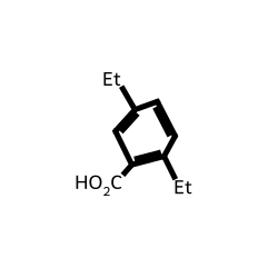 CCc1ccc(CC)c(C(=O)O)c1